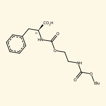 CC(C)(C)OC(=O)NCCOC(=O)N[C@@H](Cc1ccccc1)C(=O)O